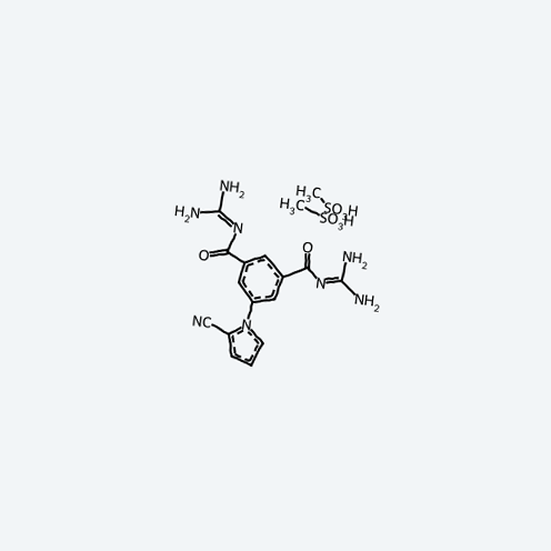 CS(=O)(=O)O.CS(=O)(=O)O.N#Cc1cccn1-c1cc(C(=O)N=C(N)N)cc(C(=O)N=C(N)N)c1